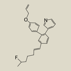 C=CCOc1ccc(-c2cc(C=CCCCC(C)F)ccc2-c2cccnc2)cc1